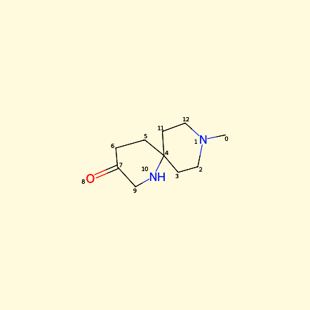 CN1CCC2(CCC(=O)CN2)CC1